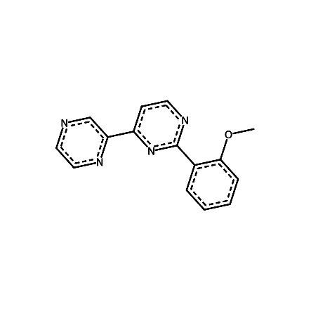 COc1ccccc1-c1nccc(-c2cnccn2)n1